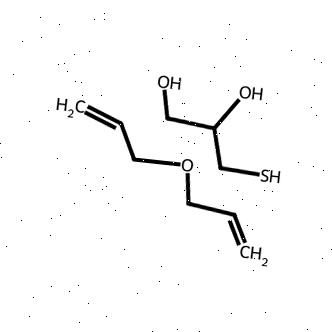 C=CCOCC=C.OCC(O)CS